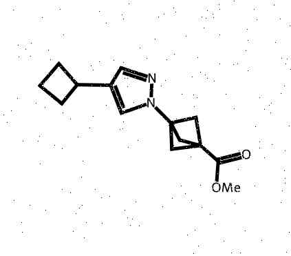 COC(=O)C12CC(n3cc(C4CCC4)cn3)(C1)C2